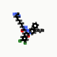 CCOC(=O)C1(C2CCCCC2)CCN(C(=O)[C@@H](Cc2ccc(Cl)c(Cl)c2)NC(=O)NCCCCCc2c[nH]cn2)CC1